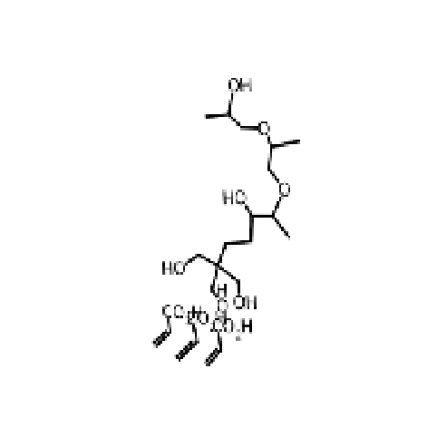 C=CC(=O)O.C=CC(=O)O.C=CC(=O)O.CC(O)COC(C)COC(C)C(O)CCC(CO)(CO)CO